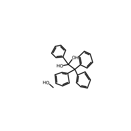 CO.OC(O)(c1ccccc1)C(c1ccccc1)(c1ccccc1)c1ccccc1